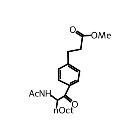 CCCCCCCCC(NC(C)=O)C(=O)c1ccc(CCC(=O)OC)cc1